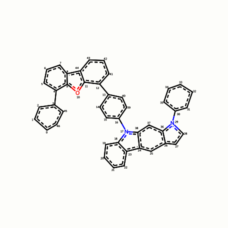 c1ccc(-c2cccc3c2oc2c(-c4ccc(-n5c6ccccc6c6cc7ccn(-c8ccccc8)c7cc65)cc4)cccc23)cc1